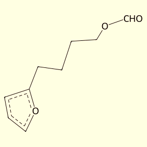 O=COCCCCc1ccco1